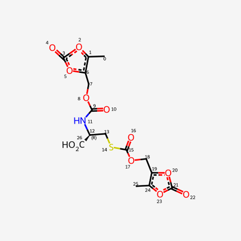 Cc1oc(=O)oc1COC(=O)N[C@@H](CSC(=O)OCc1oc(=O)oc1C)C(=O)O